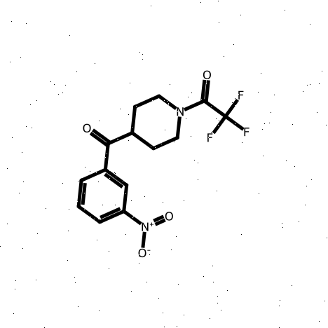 O=C(c1cccc([N+](=O)[O-])c1)C1CCN(C(=O)C(F)(F)F)CC1